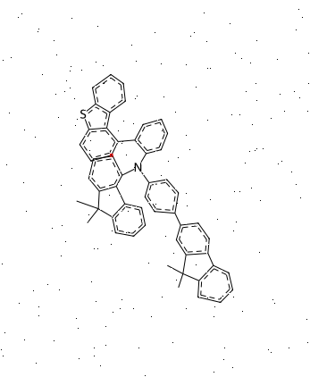 CC1(C)c2ccccc2-c2ccc(-c3ccc(N(c4ccccc4-c4cccc5sc6ccccc6c45)c4cccc5c4-c4ccccc4C5(C)C)cc3)cc21